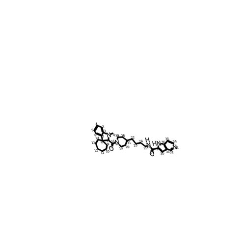 CN1c2ccccc2C2(CCCCCC2)C1C(=O)N1CCC(CCCCNC(=O)c2cc3cnccc3[nH]2)CC1